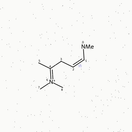 CN/C=C\CC(C)=[N+](C)C